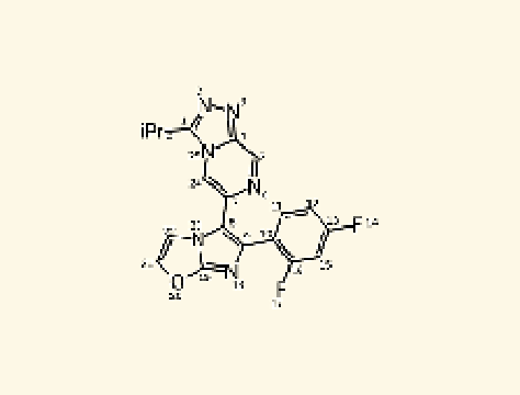 CC(C)c1nnc2cnc(-c3c(-c4ccc(F)cc4F)nc4occn34)cn12